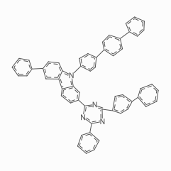 c1ccc(-c2ccc(-c3ccc(-n4c5ccc(-c6ccccc6)cc5c5ccc(-c6nc(-c7ccccc7)nc(-c7ccc(-c8ccccc8)cc7)n6)cc54)cc3)cc2)cc1